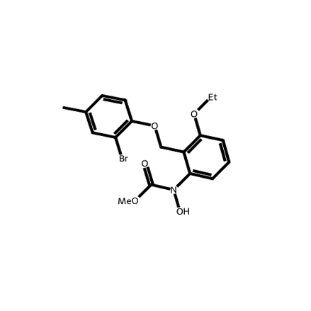 CCOc1cccc(N(O)C(=O)OC)c1COc1ccc(C)cc1Br